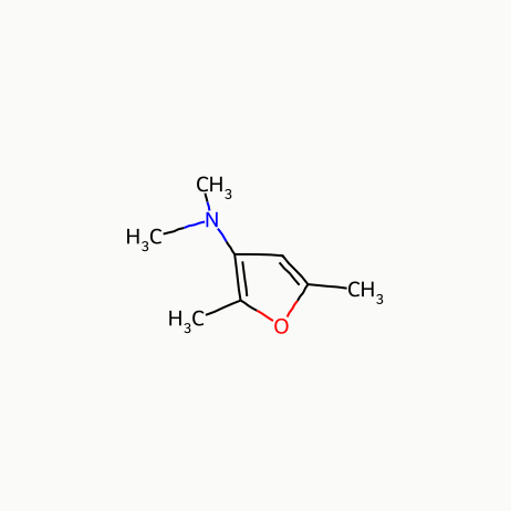 Cc1cc(N(C)C)c(C)o1